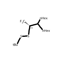 CCCCCCC(CCCCCC)[C@H](SSC(C)(C)C)C(F)(F)F